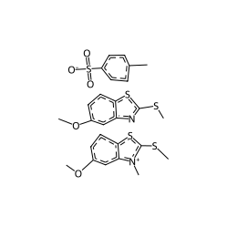 COc1ccc2sc(SC)[n+](C)c2c1.COc1ccc2sc(SC)nc2c1.Cc1ccc(S(=O)(=O)[O-])cc1